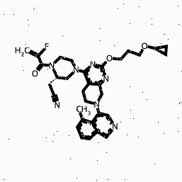 C=C(F)C(=O)N1CCN(c2nc(OCCCOC3CC3)nc3c2CCN(c2cncc4cccc(C)c24)C3)C[C@@H]1CC#N